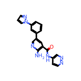 Nc1ncc(-c2cccc(-n3cccn3)c2)cc1C(=O)Nc1ccnnc1